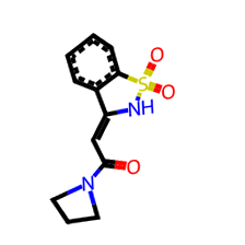 O=C(C=C1NS(=O)(=O)c2ccccc21)N1CCC1